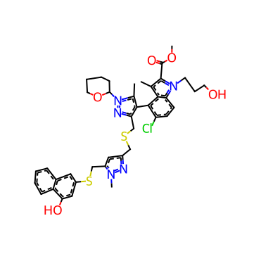 COC(=O)c1c(C)c2c(-c3c(CSCc4cc(CSc5cc(O)c6ccccc6c5)n(C)n4)nn(C4CCCCO4)c3C)c(Cl)ccc2n1CCCO